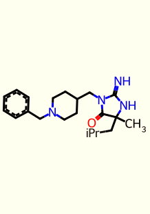 CC(C)CC1(C)NC(=N)N(CC2CCN(Cc3ccccc3)CC2)C1=O